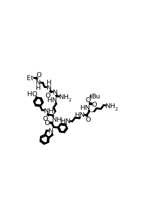 CCC(=O)NCCNC(=O)/N=C(/N)NCCC[C@@H](NC(=O)[C@H](c1cccc(NCCCNC(=O)[C@@H](CCCCN)NC(=O)OC(C)(C)C)c1)N1Cc2ccccc2C1)C(=O)NCc1ccc(O)cc1